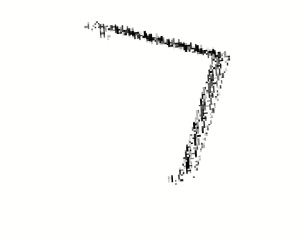 N.N.N.N.N.N.N.N.N.N.N.N.N.N.N.N.N.N.N.N.N.N.N.N.N.N.N.N.N.N.N.N.N.N.N.N.N.N.N.N.N.O.O